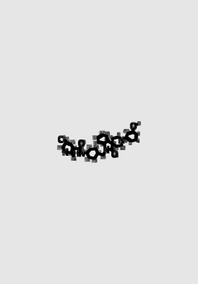 COc1cccc(N2CCC3(CC2)C(=O)N(CC2CCC(NC(=O)c4cc(Cl)cnc4C)CC2)c2ccccc23)c1